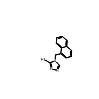 Sc1nncn1Cc1cccc2ccccc12